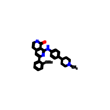 COc1ccccc1-c1cc2c(c(Nc3ccc(C4CCN(C)CC4)cc3)n1)C(=O)[N]C=C2